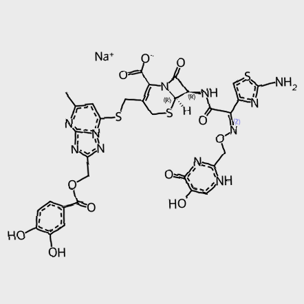 Cc1cc(SCC2=C(C(=O)[O-])N3C(=O)[C@@H](NC(=O)/C(=N\OCc4nc(=O)c(O)c[nH]4)c4csc(N)n4)[C@H]3SC2)n2nc(COC(=O)c3ccc(O)c(O)c3)nc2n1.[Na+]